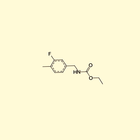 CCOC(=O)NCc1ccc(C)c(F)c1